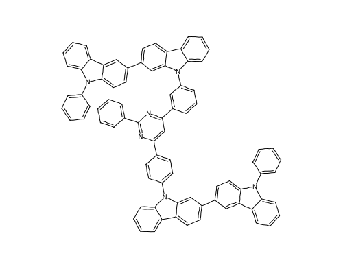 c1ccc(-c2nc(-c3ccc(-n4c5ccccc5c5ccc(-c6ccc7c(c6)c6ccccc6n7-c6ccccc6)cc54)cc3)cc(-c3cccc(-n4c5ccccc5c5ccc(-c6ccc7c(c6)c6ccccc6n7-c6ccccc6)cc54)c3)n2)cc1